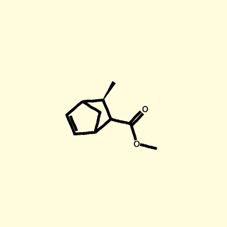 COC(=O)C1C2C=CC(C2)[C@H]1C